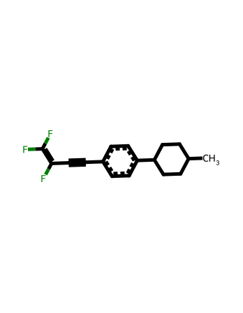 CC1CCC(c2ccc(C#CC(F)=C(F)F)cc2)CC1